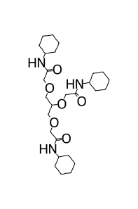 O=C(COCC(COCC(=O)NC1CCCCC1)OCC(=O)NC1CCCCC1)NC1CCCCC1